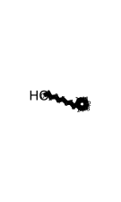 OCCCCCCCCc1ccccc1